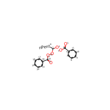 [CH2]CCCC[C](OOC(=O)c1ccccc1)OOC(=O)c1ccccc1